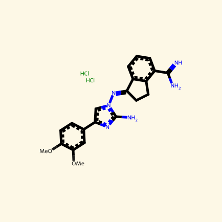 COc1ccc(-c2cn(N=C3CCc4c(C(=N)N)cccc43)c(N)n2)cc1OC.Cl.Cl